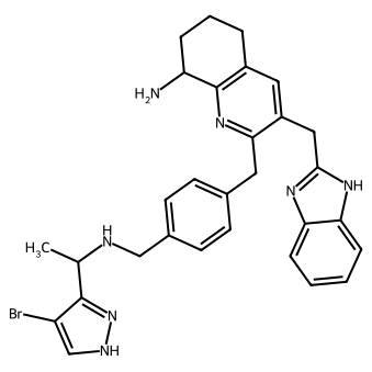 CC(NCc1ccc(Cc2nc3c(cc2Cc2nc4ccccc4[nH]2)CCCC3N)cc1)c1n[nH]cc1Br